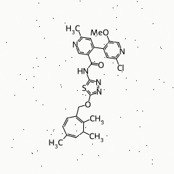 COc1cnc(Cl)cc1-c1cc(C)ncc1C(=O)Nc1nnc(OCC2=C(C)C(C)C=C(C)C=C2)s1